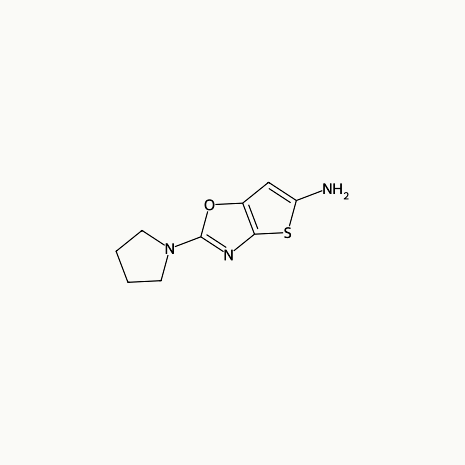 Nc1cc2oc(N3CCCC3)nc2s1